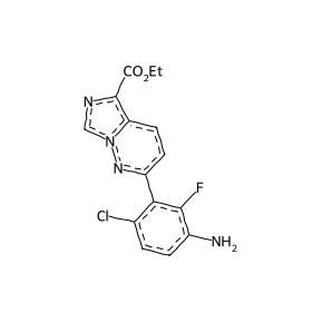 CCOC(=O)c1ncn2nc(-c3c(Cl)ccc(N)c3F)ccc12